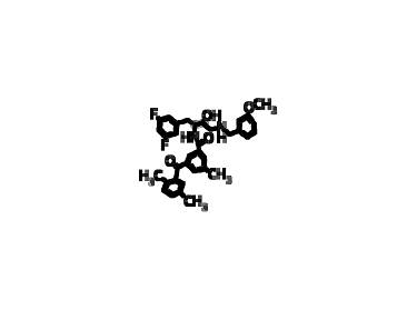 COc1cccc(CNC[C@H](O)[C@H](Cc2cc(F)cc(F)c2)NC(=O)c2cc(C)cc(C(=O)c3cc(C)ccc3C)c2)c1